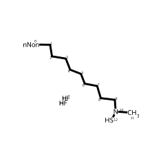 CCCCCCCCCCCCCCCCCCN(C)S.F.F